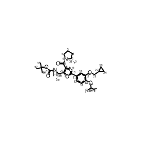 [CH2][C@H]1CCCN1C(=O)c1nc(-c2ccc(OC(F)F)c(OCC3CC3)c2)oc1[C@H](C)NC(=O)OC(C)(C)C